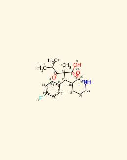 CC(C)C(=O)C(C)(C(=O)O)C(c1ccc(F)cc1)C1CCCNC1=O